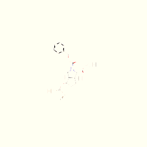 COC(=O)[C@@H]1[C@H]2CCC(OC(S)SC)[C@H]2CN1C(=O)OCc1ccccc1